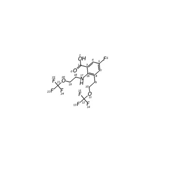 O=C(O)c1cc(F)cc(CCOC(F)(F)F)c1NCCOC(F)(F)F